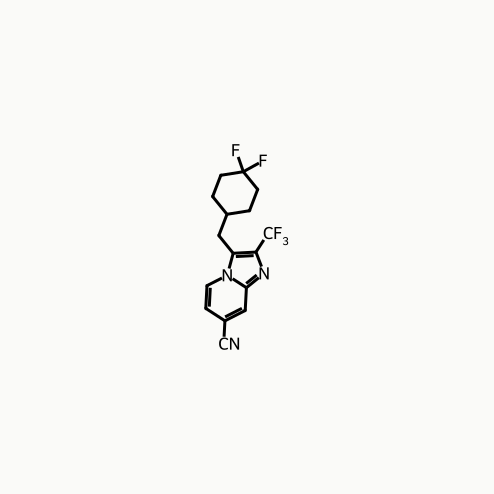 N#Cc1ccn2c(CC3CCC(F)(F)CC3)c(C(F)(F)F)nc2c1